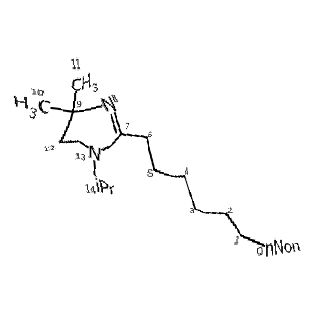 CCCCCCCCCCCCCCCC1=NC(C)(C)CN1C(C)C